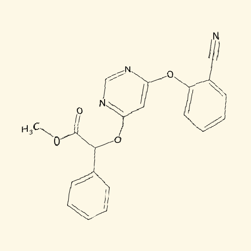 COC(=O)C(Oc1cc(Oc2ccccc2C#N)ncn1)c1ccccc1